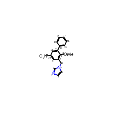 COc1c(Cn2ccnc2)cc([N+](=O)[O-])cc1-c1ccccc1